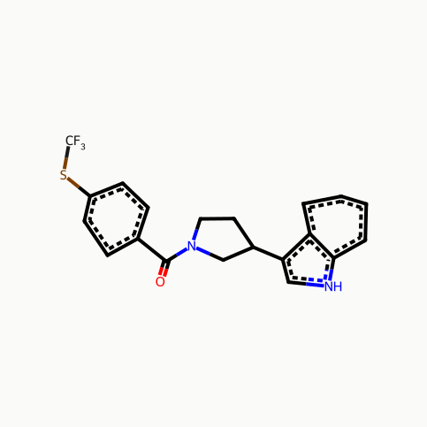 O=C(c1ccc(SC(F)(F)F)cc1)N1CCC(c2c[nH]c3ccccc23)C1